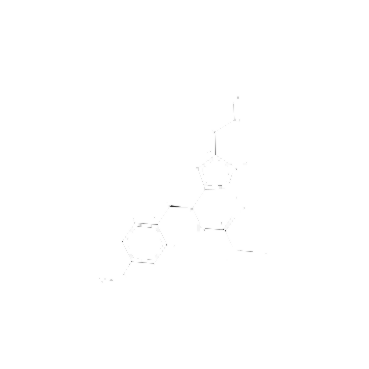 COc1ccc(C[C@H](NC(=O)OC(C)(C)C)c2cc(CCO)no2)cc1